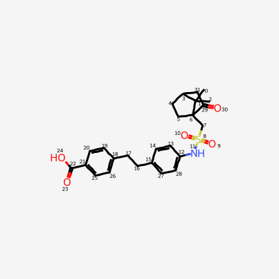 CC1(C)C2CCC1(CS(=O)(=O)Nc1ccc(CCc3ccc(C(=O)O)cc3)cc1)C(=O)C2